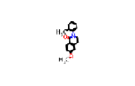 COc1ccc2c(c1)CCN(c1ccccc1C)C2=O